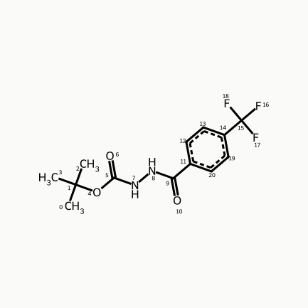 CC(C)(C)OC(=O)NNC(=O)c1ccc(C(F)(F)F)cc1